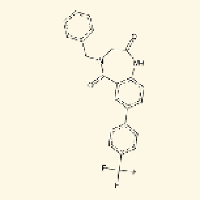 O=C1CN(Cc2ccccc2)C(=O)c2cc(-c3ccc(C(F)(F)F)cc3)ccc2N1